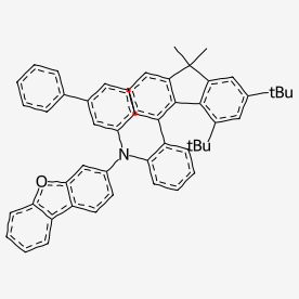 CC(C)(C)c1cc(C(C)(C)C)c2c(c1)C(C)(C)c1cccc(-c3ccccc3N(c3cccc(-c4ccccc4)c3)c3ccc4c(c3)oc3ccccc34)c1-2